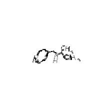 CC(C)NCc1ccncc1